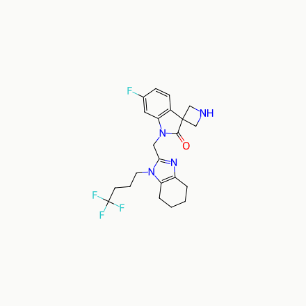 O=C1N(Cc2nc3c(n2CCCC(F)(F)F)CCCC3)c2cc(F)ccc2C12CNC2